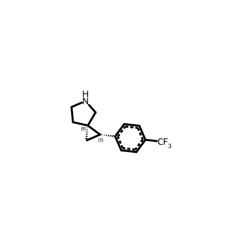 FC(F)(F)c1ccc([C@@H]2C[C@@]23CCNC3)cc1